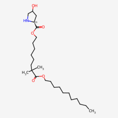 CCCCCCCCCCCOC(=O)C(C)(C)CCCCCCOC(=O)[C@@H]1CC(O)CN1